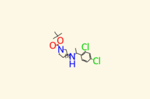 CC(N[C@H]1CCN(C(=O)OC(C)(C)C)C1)c1ccc(Cl)cc1Cl